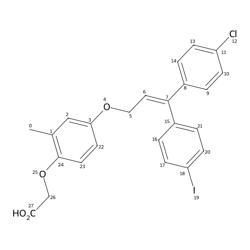 Cc1cc(OCC=C(c2ccc(Cl)cc2)c2ccc(I)cc2)ccc1OCC(=O)O